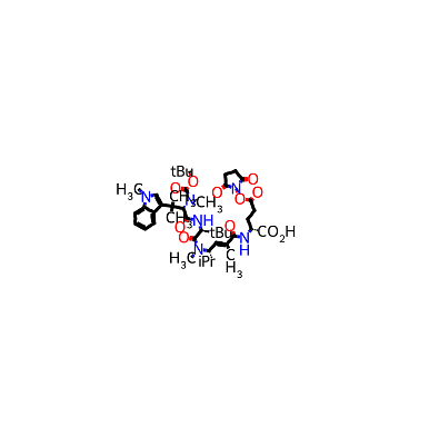 C/C(=C\[C@H](C(C)C)N(C)C(=O)[C@@H](NC(=O)[C@@H](N(C)C(=O)OC(C)(C)C)C(C)(C)c1cn(C)c2ccccc12)C(C)(C)C)C(=O)N[C@H](CCC(=O)ON1C(=O)CCC1=O)C(=O)O